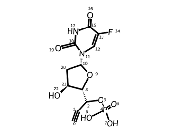 C#CC(OP(=O)(O)O)[C@H]1O[C@@H](n2cc(F)c(=O)[nH]c2=O)C[C@@H]1O